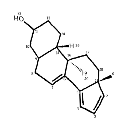 C[C@@]12C=CC=C1C1=CCC3CC(O)CC[C@@H]3[C@H]1CC2